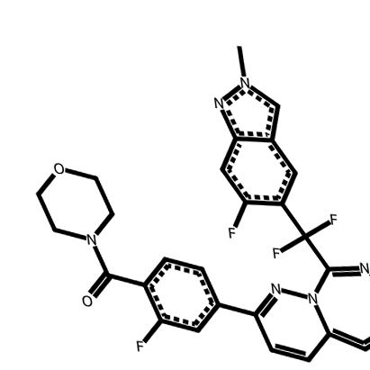 Cn1cc2cc(C(F)(F)C3=NCC=C=C4C=CC(c5ccc(C(=O)N6CCOCC6)c(F)c5)=NN43)c(F)cc2n1